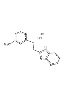 COc1ccnc(CCc2nc3ncccc3[nH]2)c1.Cl.Cl